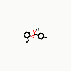 C=Cc1ccccc1OC(OCC)c1ccc(C)cc1